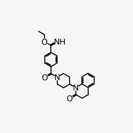 CCOC(=N)c1ccc(C(=O)N2CCC(N3C(=O)CCc4ccccc43)CC2)cc1